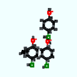 [Al+3].[O-]c1ccc(Cl)cc1.[O-]c1ccc(Cl)cc1.[O-]c1ccc(Cl)cc1